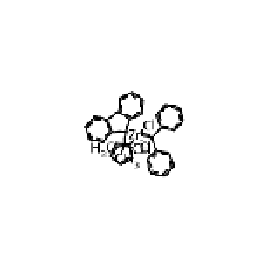 CC(C)(C)[C]1([Zr]([Cl])([Cl])(=[C](c2ccccc2)c2ccccc2)[CH]2C=CC=C2)c2ccccc2-c2ccccc21